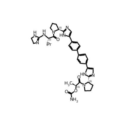 CC(C)[C@H](NC1=NCCN1)C(=O)N1CCC[C@H]1c1ncc(-c2ccc(-c3ccc(-c4cnc([C@@H]5CCCN5C(=O)[C@H](C)OC(N)=O)[nH]4)cc3)cc2)[nH]1